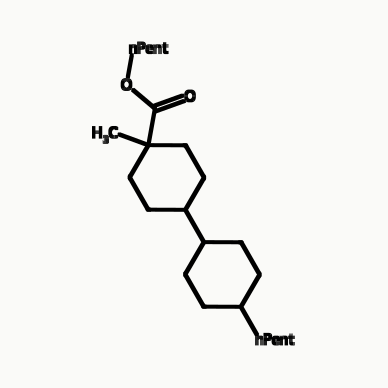 CCCCCOC(=O)C1(C)CCC(C2CCC(CCCCC)CC2)CC1